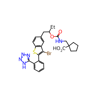 CCC(Cc1ccc2sc(-c3ccccc3-c3nnn[nH]3)c(Br)c2c1)OC(=O)NCC1(C(=O)O)CCCC1